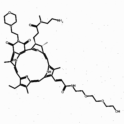 CCC1=C(C)c2cc3[nH]c(cc4nc(c5c6[nH]c(cc1n2)c(C)c6C(=O)N(CCN1CCOCC1)C5=O)[C@@H](CCC(=O)N(C)CCN)[C@@H]4C)c(C)c3/C=C/C(=O)NCCOCCOCCO